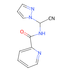 N#CC(NC(=O)c1ccccn1)n1cccn1